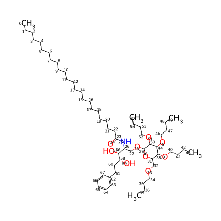 CCCCCCCCCCCCCCCCCCCCCCCC(=O)N[C@@H](COC1OC(COCCCC)C(OCCCC)C(OCCCC)C1OCCCC)[C@H](O)[C@H](O)CCc1ccccc1